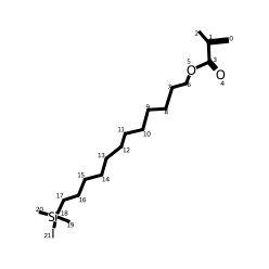 C=C(C)C(=O)OCCCCCCCCCCCC[Si](C)(C)I